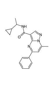 Cc1cc(-c2ccccc2)nc2c(C(=O)NC(C)C3CC3)cnn12